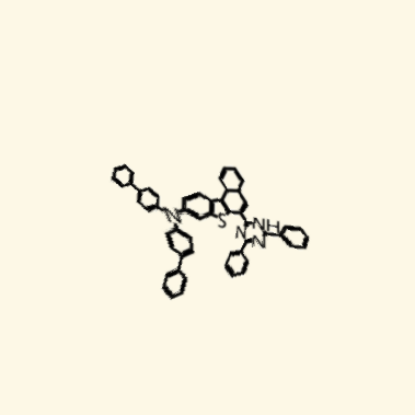 C1=CC2C=C(C3=NC(c4ccccc4)=NC(c4ccccc4)N3)c3sc4cc(N(c5ccc(-c6ccccc6)cc5)c5ccc(-c6ccccc6)cc5)ccc4c3C2C=C1